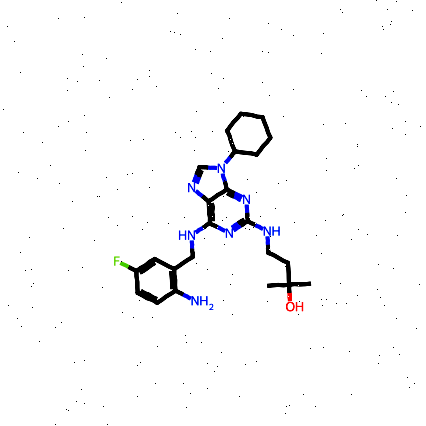 CC(C)(O)CCNc1nc(NCc2cc(F)ccc2N)c2ncn(C3CCCCC3)c2n1